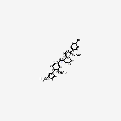 CN[C@]1(c2ccc(F)cc2)ON=C2/C(=C/c3ccc(-n4cnc(C)c4)c(OC)c3)CCCN21